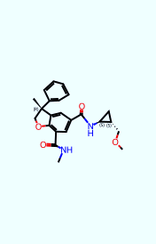 CNC(=O)c1cc(C(=O)N[C@H]2C[C@@H]2COC)cc2c1OC[C@]2(C)c1ccccc1